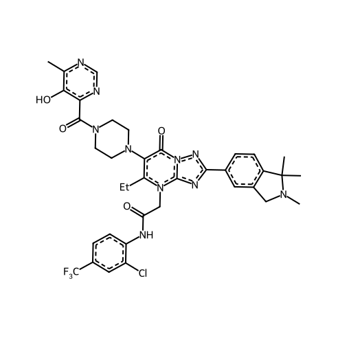 CCc1c(N2CCN(C(=O)c3ncnc(C)c3O)CC2)c(=O)n2nc(-c3ccc4c(c3)CN(C)C4(C)C)nc2n1CC(=O)Nc1ccc(C(F)(F)F)cc1Cl